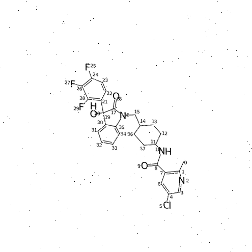 Cc1ncc(Cl)cc1C(=O)NC1CCC(CN2C(=O)C(O)(c3ccc(F)c(F)c3F)c3ccccc32)CC1